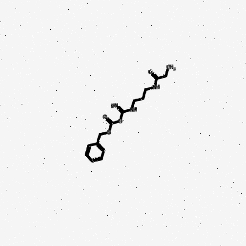 CCC(=O)NCCCNC(=N)OC(=O)OCc1ccccc1